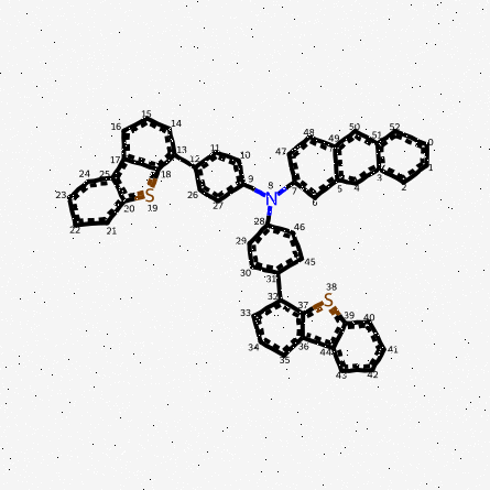 c1ccc2cc3cc(N(c4ccc(-c5cccc6c5sc5ccccc56)cc4)c4ccc(-c5cccc6c5sc5ccccc56)cc4)ccc3cc2c1